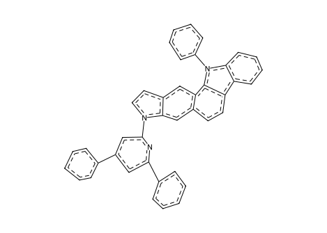 c1ccc(-c2cc(-c3ccccc3)nc(-n3ccc4cc5c(ccc6c7ccccc7n(-c7ccccc7)c56)cc43)c2)cc1